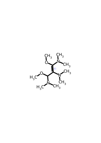 CO/C(=C(\C(OC)N(C)C)N(C)C)N(C)C